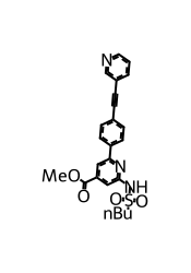 CCCCS(=O)(=O)Nc1cc(C(=O)OC)cc(-c2ccc(C#Cc3cccnc3)cc2)n1